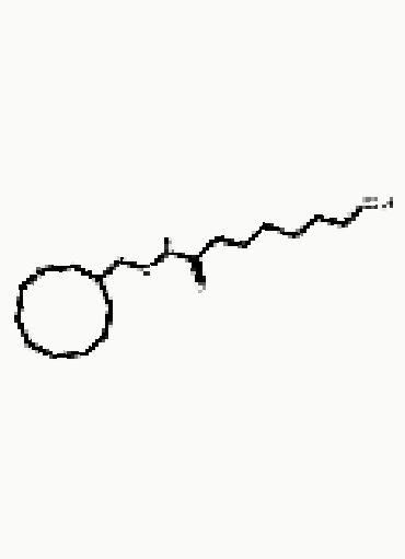 O=C(O)CCCCCCC(=O)NOCC1CCCCCCCCC1